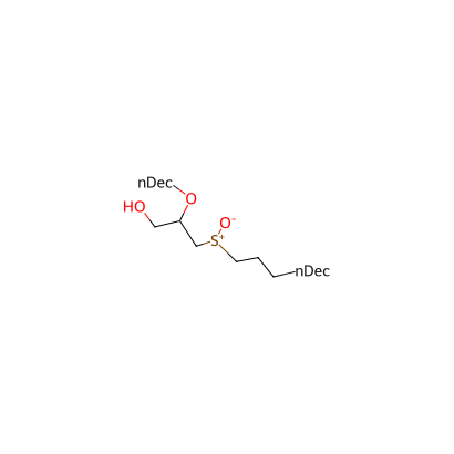 CCCCCCCCCCCCC[S+]([O-])CC(CO)OCCCCCCCCCC